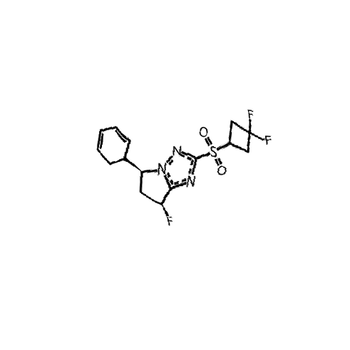 O=S(=O)(c1nc2n(n1)[C@H](C1C=CC=CC1)C[C@@H]2F)C1CC(F)(F)C1